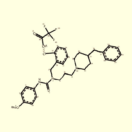 COc1ccc(NC(=O)N(CCCN2CCC(Cc3ccccc3)CC2)Cc2ccccc2Cl)cc1.O=C(O)C(F)(F)F